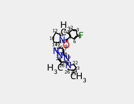 Cc1ccc(F)cc1C(=O)N1CCCC[C@H]1c1cc2nc(N3CC[C@H](C)C3)c(C)cn2n1